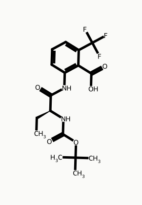 CC[C@H](NC(=O)OC(C)(C)C)C(=O)Nc1cccc(C(F)(F)F)c1C(=O)O